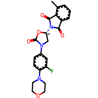 Cc1cccc2c1C(=O)N([C@@H]1CN(c3ccc(N4CCOCC4)c(F)c3)C(=O)O1)C2=O